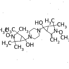 C=C1C2C(C(C)(C)N1OC)C2(O)N1CCN(C2(O)C3C2C(C)(C)N(OC)C3(C)C)CC1